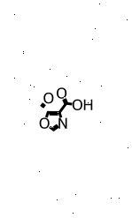 C=O.O=C(O)c1cocn1